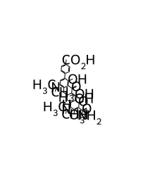 CN(C)c1cc(-c2ccc(C(=O)O)cc2)c(O)c2c1C[C@@H]1C[C@@H]3[C@@H](N(C)C)C(O)=C(C(N)=O)C(=O)[C@]3(O)C(O)=C1C2=O